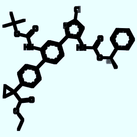 CCOC(=O)C1(c2ccc(-c3ccc(-c4sc(Cl)cc4NC(=O)O[C@H](C)c4ccccc4)cc3NC(=O)OC(C)(C)C)cc2)CC1